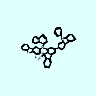 CC1(C)c2ccccc2-c2cc(-c3ccc4c5ccccc5n(-c5ccccc5)c4c3)cc(N(c3ccc4oc5ccccc5c4c3)c3cccc4ccccc34)c21